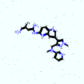 CC(C)C(=C/N)/C=C(\N)Nc1ccc2ncc(-c3cn(C)nc3CN(C)c3cccnc3)cc2n1